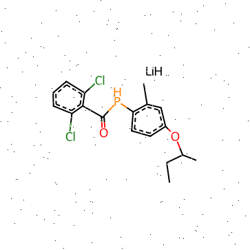 CCC(C)Oc1ccc(PC(=O)c2c(Cl)cccc2Cl)c(C)c1.[LiH]